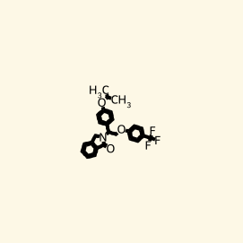 CC(C)Oc1ccc(C(COc2ccc(C(F)(F)F)cc2)N2Cc3ccccc3C2=O)cc1